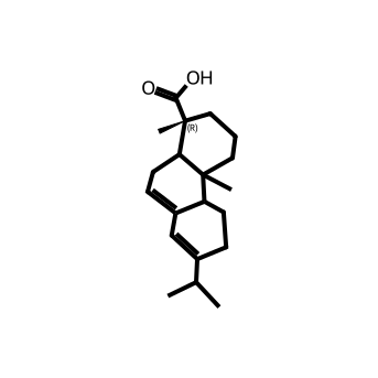 CC(C)C1=CC2=CCC3C(C)(CCC[C@@]3(C)C(=O)O)C2CC1